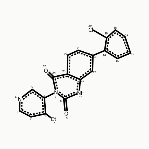 CCc1ccncc1-n1c(=O)[nH]c2cc(-c3ccccc3Cl)ccc2c1=O